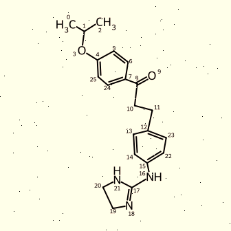 CC(C)Oc1ccc(C(=O)CCc2ccc(NC3=NCCN3)cc2)cc1